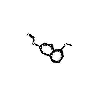 COc1cccc2cc(O[C]=O)ccc12